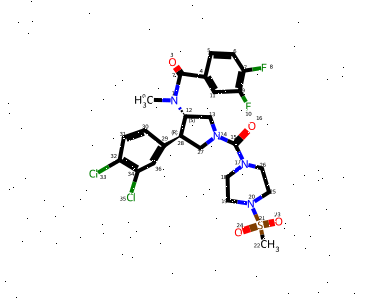 CN(C(=O)c1ccc(F)c(F)c1)[C@@H]1CN(C(=O)N2CCN(S(C)(=O)=O)CC2)C[C@H]1c1ccc(Cl)c(Cl)c1